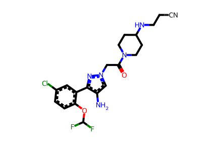 N#CCCNC1CCN(C(=O)Cn2cc(N)c(-c3cc(Cl)ccc3OC(F)F)n2)CC1